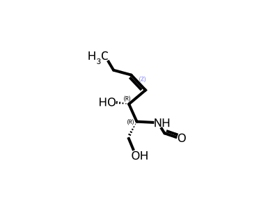 CC/C=C\[C@@H](O)[C@@H](CO)NC=O